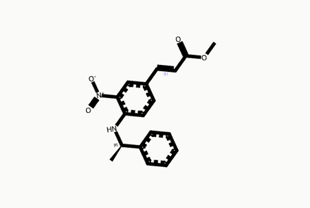 COC(=O)/C=C/c1ccc(N[C@H](C)c2ccccc2)c([N+](=O)[O-])c1